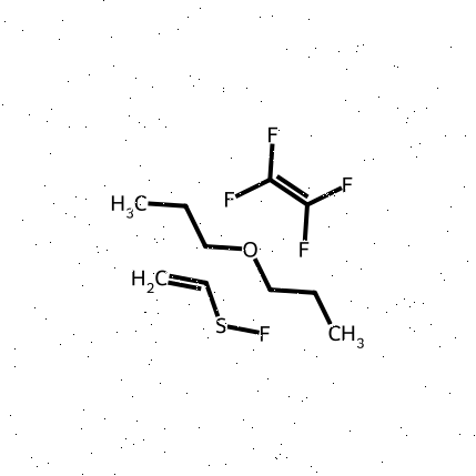 C=CSF.CCCOCCC.FC(F)=C(F)F